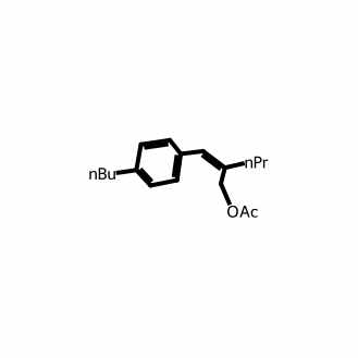 CCCCc1ccc(C=C(CCC)COC(C)=O)cc1